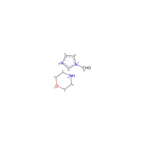 C1COCCN1.O=Cn1ccnc1